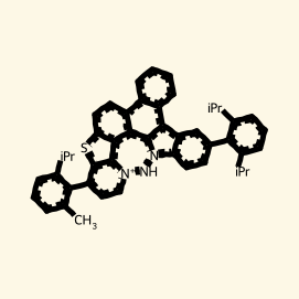 Cc1cccc(C(C)C)c1-c1cc[n+]2[nH]n3c4ccc(-c5c(C(C)C)cccc5C(C)C)cc4c4c5ccccc5c5ccc6sc1c2c6c5c43